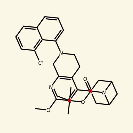 COc1nc2c(c(N3CC4CC(C3)N4C(=O)OC(C)(C)C)n1)CCN(c1cccc3cccc(Cl)c13)C2